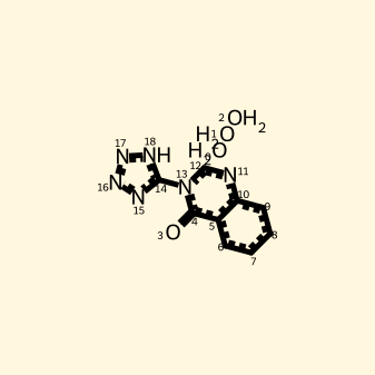 O.O.O.O=c1c2ccccc2ncn1-c1nnn[nH]1